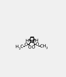 CCOC(=O)C1[C@@H]2C=C[C@@H](C2)[C@H]1C(=O)OCC